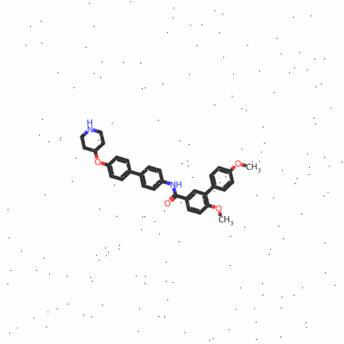 COc1ccc(-c2cc(C(=O)Nc3ccc(-c4ccc(OC5CCNCC5)cc4)cc3)ccc2OC)cc1